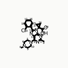 Cc1nc(N2CCN(C)CC2)c2nc(-c3ccccc3Cl)n(C3(C(=O)O)CC3)c2n1